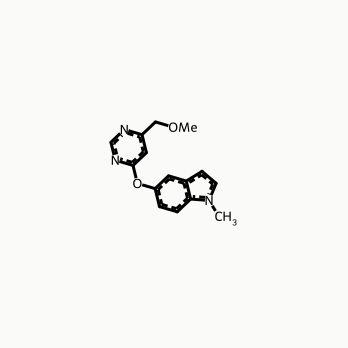 COCc1cc(Oc2ccc3c(ccn3C)c2)ncn1